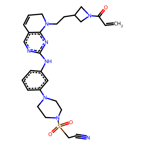 C=CC(=O)N1CC(CCN2CC=Cc3cnc(Nc4cccc(N5CCN(S(=O)(=O)CC#N)CC5)c4)nc32)C1